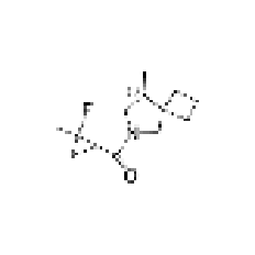 C[C@@H]1CN(C(=O)C2CC2(C)F)CC12CCC2